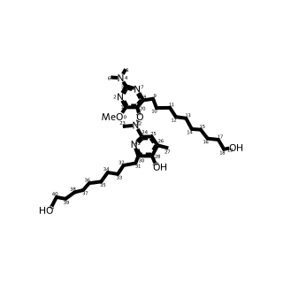 COc1nc(N(C)C)nc(CCCCCCCCCCO)c1ON(C)c1cc(C)c(O)c(CCCCCCCCCCO)n1